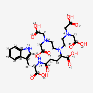 O=C(O)CN(CCN(CCN(CC(=O)O)CC(=O)O)C(CCC(=O)N[C@@H](Cc1c[nH]c2ccccc12)C(=O)O)C(=O)O)CC(=O)O